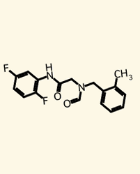 Cc1ccccc1CN(C=O)CC(=O)Nc1cc(F)ccc1F